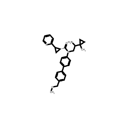 COCc1ccc(-c2ccc(N(CC(N)C3(C)CC3)C(=O)[C@@H]3CC3c3ccccn3)cc2)cc1